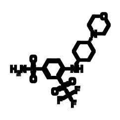 NS(=O)(=O)c1ccc(N[C@H]2CC[C@H](N3CCOCC3)CC2)c(S(=O)(=O)C(F)(F)F)c1